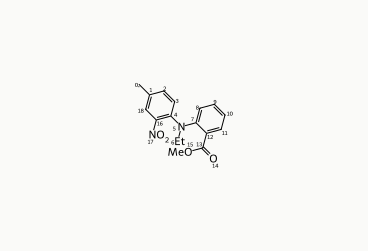 [CH2]c1ccc(N(CC)c2ccccc2C(=O)OC)c([N+](=O)[O-])c1